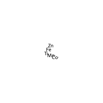 [Co].[Fe].[Mn].[Ti].[Zn]